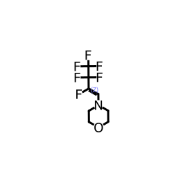 F/C(=C\N1CCOCC1)C(F)(F)C(F)(F)F